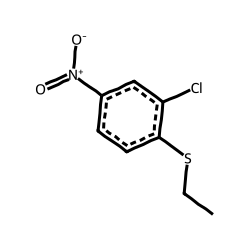 CCSc1ccc([N+](=O)[O-])cc1Cl